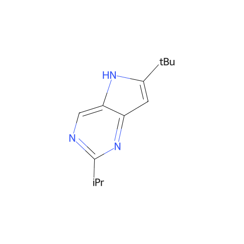 CC(C)c1ncc2[nH]c(C(C)(C)C)cc2n1